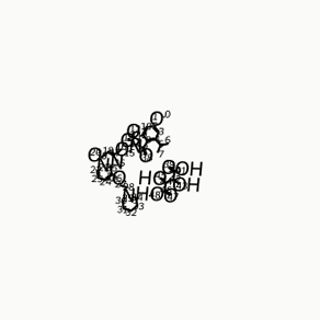 COc1cc(C(C)C)c2c(c1)S(=O)(=O)N(COc1cc(=O)n3cccc(OCCN4CCCCC4)c3n1)C2=O.O=C(O)C(O)C(O)C(=O)O